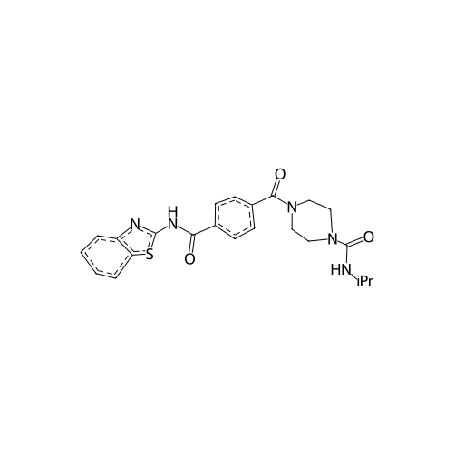 CC(C)NC(=O)N1CCN(C(=O)c2ccc(C(=O)Nc3nc4ccccc4s3)cc2)CC1